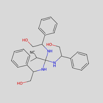 CC(C#N)C(NC(CO)c1ccccc1)(NC(CO)c1ccccc1)NC(CO)c1ccccc1